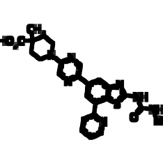 CCNC(=O)Nc1nc2cc(-c3cnc(N4CCC(C)(C(=O)O)CC4)cn3)cc(-c3ccccn3)c2s1